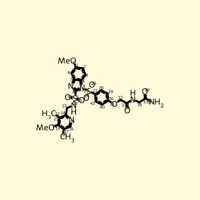 COc1ccc2c(c1)nc(S(=O)(=O)NCc1ncc(C)c(OC)c1C)n2S(=O)(=O)c1ccc(OCC(=O)NCC(N)=O)cc1